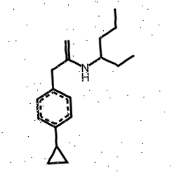 C=C(Cc1ccc(C2CC2)cc1)NC(CC)CCC